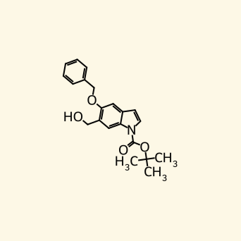 CC(C)(C)OC(=O)n1ccc2cc(OCc3ccccc3)c(CO)cc21